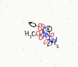 CCOC(=O)c1nc2n(c(=O)c1OC(=O)c1ccccc1)CC1CCC2(NC(=O)C(=O)NC)CC1